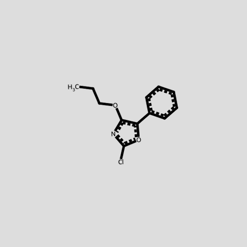 CCCOc1nc(Cl)oc1-c1ccccc1